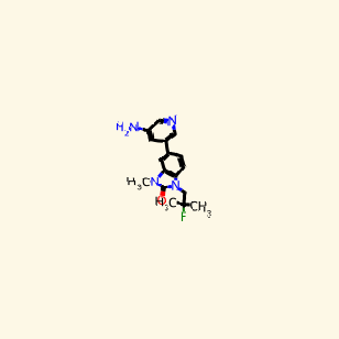 Cn1c(=O)n(CC(C)(C)F)c2ccc(-c3cncc(N)c3)cc21